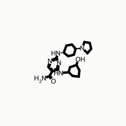 NC(=O)c1cnc(N[C@H]2CC[C@H](N3CCCC3)CC2)nc1NC1CCCC(O)C1